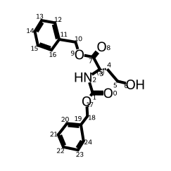 O=C(N[C@@H](CCO)C(=O)OCc1ccccc1)OCc1ccccc1